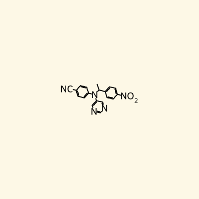 CC(c1ccc([N+](=O)[O-])cc1)N(c1ccc(C#N)cc1)c1cncnc1